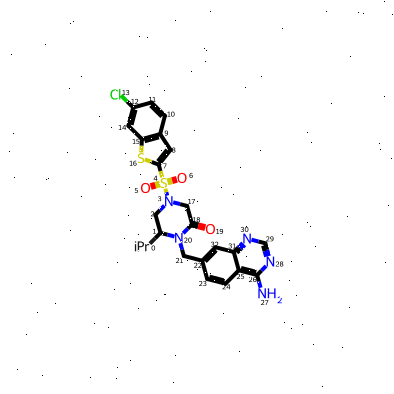 CC(C)C1CN(S(=O)(=O)c2cc3ccc(Cl)cc3s2)CC(=O)N1Cc1ccc2c(N)ncnc2c1